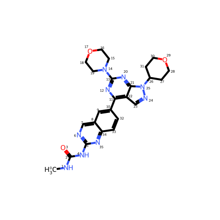 CNC(=O)Nc1ncc2cc(-c3nc(N4CCOCC4)nc4c3cnn4C3CCOCC3)ccc2n1